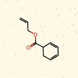 C=CCOC(=O)C1C=CC=CC1